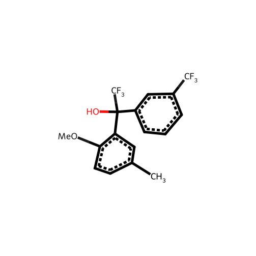 COc1ccc(C)cc1C(O)(c1cccc(C(F)(F)F)c1)C(F)(F)F